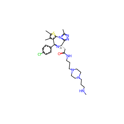 CNCCCN1CCN(CCCNC(=O)C[C@@H]2N=C(c3ccc(Cl)cc3)c3c(sc(C)c3C)-n3c(C)nnc32)CC1